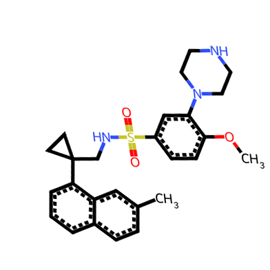 COc1ccc(S(=O)(=O)NCC2(c3cccc4ccc(C)cc34)CC2)cc1N1CCNCC1